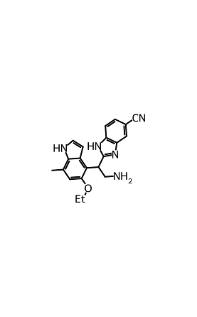 CCOc1cc(C)c2[nH]ccc2c1C(CN)c1nc2cc(C#N)ccc2[nH]1